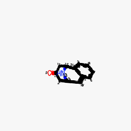 O=C1CC2Cc3ccccc3C(C1)N2